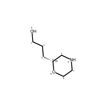 OCCC[C@@H]1CNCCO1